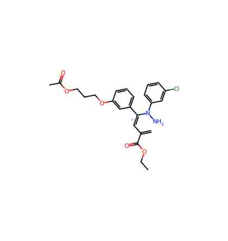 C=C(/C=C(/c1cccc(OCCCOC(C)=O)c1)N(N)c1cccc(Cl)c1)C(=O)OCC